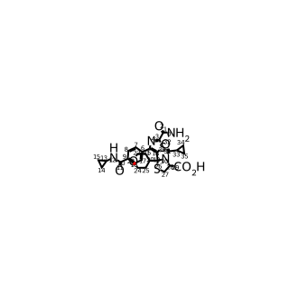 NC(=O)c1nc(-c2ccc(C(=O)NC3CC3)cc2)c(C2(C3CCOCC3)SCC(C(=O)O)N2C(=O)C2CC2)s1